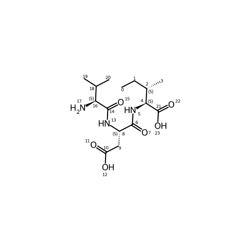 CC[C@H](C)[C@H](NC(=O)[C@H](CC(=O)O)NC(=O)[C@@H](N)C(C)C)C(=O)O